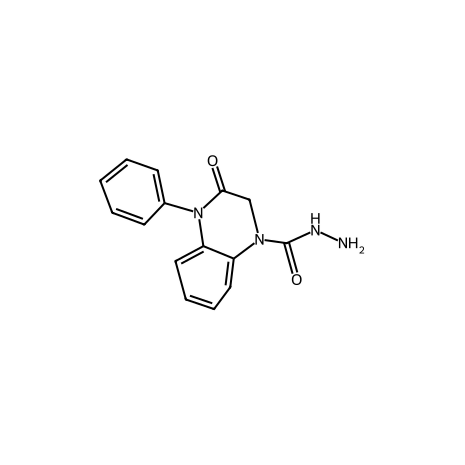 NNC(=O)N1CC(=O)N(c2ccccc2)c2ccccc21